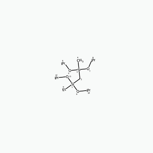 CC[Si](C[Si](C)(OC(C)C)OC(C)C)(OC(C)C)OC(C)C